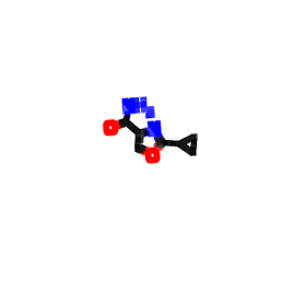 NC(=O)c1coc(C2CC2)n1